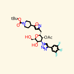 CC(=O)O[C@@H]1[C@@H](n2cc(-c3cc(F)c(F)c(F)c3)nn2)[C@@H](O)[C@@H](CO)O[C@@H]1Cc1cc(C2CCN(C(=O)OC(C)(C)C)CC2)on1